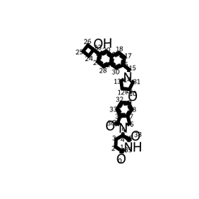 O=C1CCC(N2Cc3cc(O[C@H]4CCN(Cc5ccc6cc(C7(O)CCC7)ccc6c5)C4)ccc3C2=O)C(=O)N1